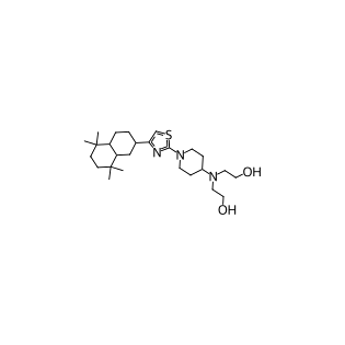 CC1(C)CCC(C)(C)C2CC(c3csc(N4CCC(N(CCO)CCO)CC4)n3)CCC21